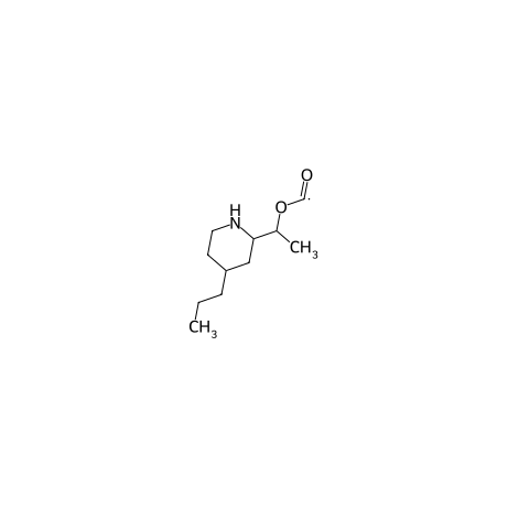 CCCC1CCNC(C(C)O[C]=O)C1